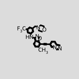 Cc1ccc2c(Nc3cc(CN4CCOCC4)cc(C(F)(F)F)c3)noc2c1C#Cc1ccc2cncn2c1